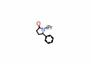 CC(C)N1C(=O)CCC1c1ccccc1